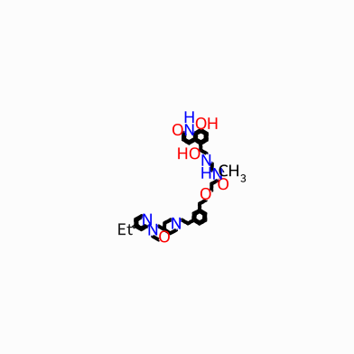 CCc1ccnc(N2CCOC3(CCN(CCc4cccc(CCOCCC(=O)N(C)CCNC[C@H](O)c5ccc(O)c6[nH]c(=O)ccc56)c4)CC3)C2)c1